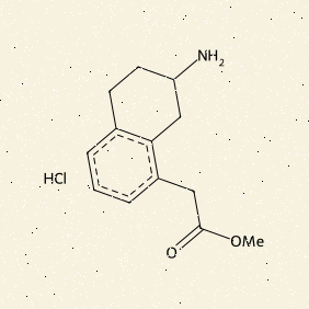 COC(=O)Cc1cccc2c1CC(N)CC2.Cl